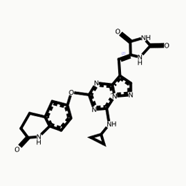 O=C1CCc2cc(Oc3nc(NC4CC4)n4ncc(/C=C5\NC(=O)NC5=O)c4n3)ccc2N1